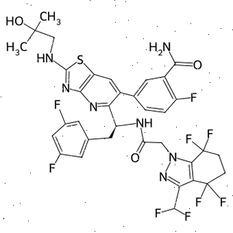 CC(C)(O)CNc1nc2nc([C@H](Cc3cc(F)cc(F)c3)NC(=O)Cn3nc(C(F)F)c4c3C(F)(F)CCC4(F)F)c(-c3ccc(F)c(C(N)=O)c3)cc2s1